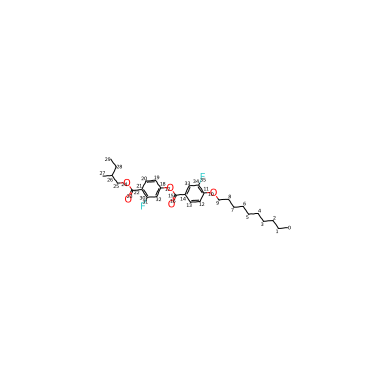 CCCCCCCCCCOc1ccc(C(=O)Oc2ccc(C(=O)OCC(C)CC)c(F)c2)cc1F